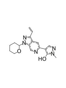 C=Cc1nn(C2CCCCO2)c2cnc(-c3cnn(C)c3O)cc12